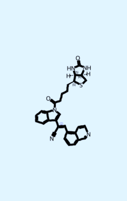 N#C/C(=C\c1cccc2cnccc12)c1cn(C(=O)CCCC[C@@H]2SC[C@@H]3NC(=O)N[C@@H]32)c2ccccc12